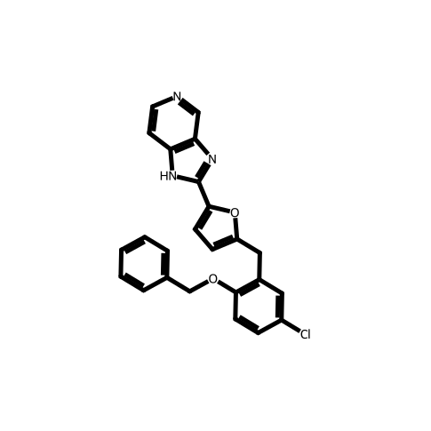 Clc1ccc(OCc2ccccc2)c(Cc2ccc(-c3nc4cnccc4[nH]3)o2)c1